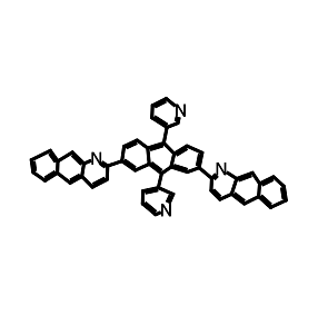 c1cncc(-c2c3ccc(-c4ccc5cc6ccccc6cc5n4)cc3c(-c3cccnc3)c3cc(-c4ccc5cc6ccccc6cc5n4)ccc23)c1